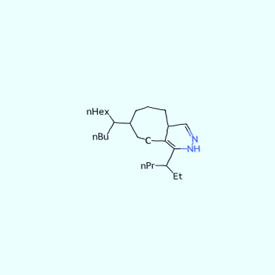 CCCCCCC(CCCC)C1CCCC2C=NNC(C(CC)CCC)=C2CC1